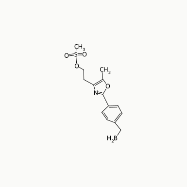 BCc1ccc(-c2nc(CCOS(C)(=O)=O)c(C)o2)cc1